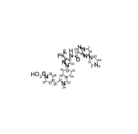 CN1CCN(c2ccn3ncc(C(=O)Nc4cn(C5CCC(CN(C)CCC6CCN(C(=O)O)CC6)CC5)nc4C(F)F)c3n2)CC1